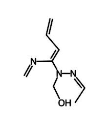 C=C/C=C(\N=C)N(CO)/N=C\C